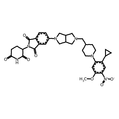 COc1cc(N2CCC(CN3CC4CN(c5ccc6c(c5)C(=O)N(C5CCC(=O)NC5=O)C6=O)CC4C3)CC2)c(C2CC2)cc1[N+](=O)[O-]